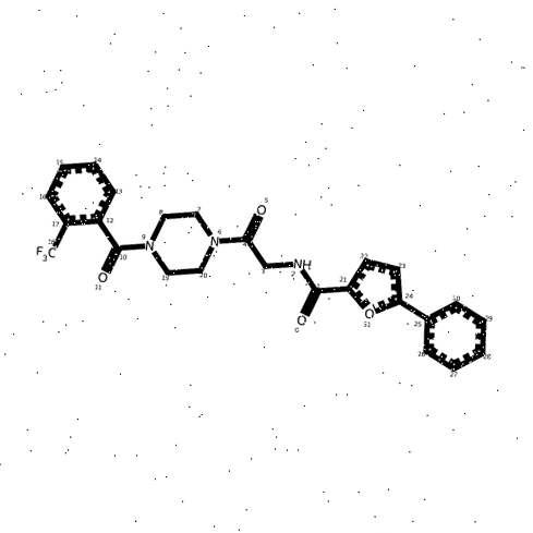 O=C(NCC(=O)N1CCN(C(=O)c2ccccc2C(F)(F)F)CC1)c1ccc(-c2ccccc2)o1